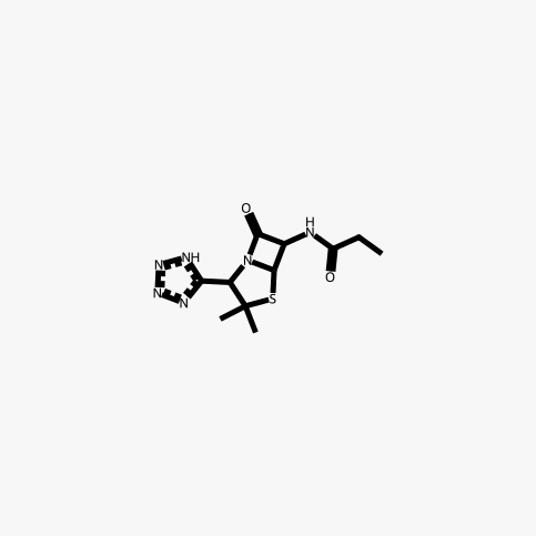 CCC(=O)NC1C(=O)N2C1SC(C)(C)C2c1nnn[nH]1